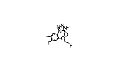 Cc1cc(-n2nnn(C)c2=O)c(OCCF)cc1F